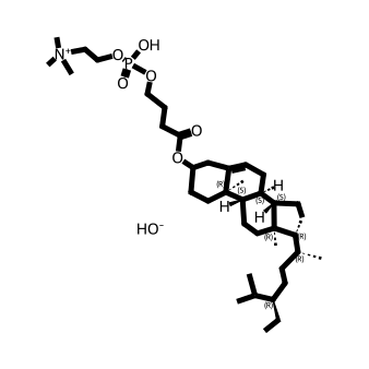 CC[C@H](CC[C@@H](C)[C@H]1CC[C@H]2[C@@H]3CC=C4CC(OC(=O)CCCOP(=O)(O)OCC[N+](C)(C)C)CC[C@]4(C)[C@H]3CC[C@]12C)C(C)C.[OH-]